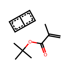 C=C(C)C(=O)OC(C)(C)C.c1cc2ccc1-2